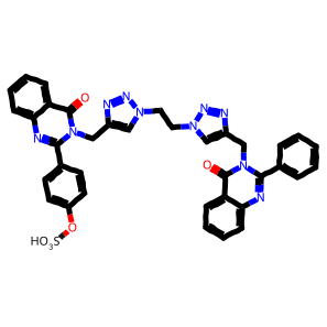 O=c1c2ccccc2nc(-c2ccccc2)n1Cc1cn(CCn2cc(Cn3c(-c4ccc(OS(=O)(=O)O)cc4)nc4ccccc4c3=O)nn2)nn1